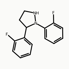 Fc1ccccc1C1CCNN1c1ccccc1F